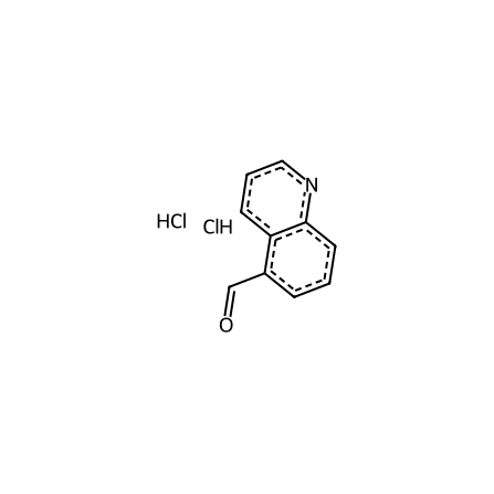 Cl.Cl.O=Cc1cccc2ncccc12